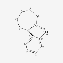 O=C1CCCCC[C@@H]1c1ccccc1Cl